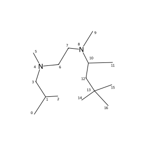 CC(C)CN(C)CCN(C)C(C)CC(C)(C)C